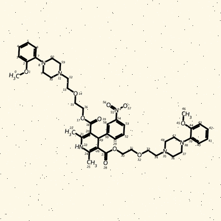 COc1ccccc1N1CCN(CCOCCOC(=O)C2=C(C)NC(C)=C(C(=O)OCCOCCN3CCN(c4ccccc4OC)CC3)C2c2cccc([N+](=O)[O-])c2)CC1